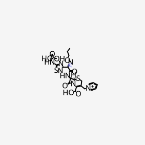 CCCO/N=C(/C(=O)NC1C(=O)N2C(C(=O)O)=C(C[n+]3ccccc3)CS[C@H]12)c1nsc(NP(=O)(O)O)n1